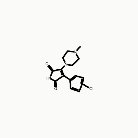 CN1CCN(C2=C(c3ccc(Cl)cc3)C(=O)NC2=O)CC1